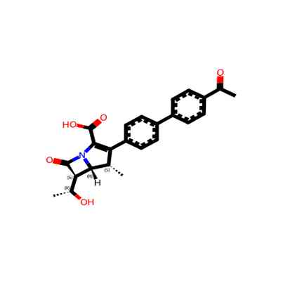 CC(=O)c1ccc(-c2ccc(C3=C(C(=O)O)N4C(=O)[C@H]([C@@H](C)O)[C@H]4[C@H]3C)cc2)cc1